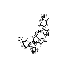 Nc1ccc(-c2cnc([C@@H]3CCc4nc(-c5cc(Cl)ccc5-n5cnnn5)cc(=O)n43)[nH]2)cn1